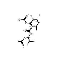 CCC[C@@H](C)[C@@H](C)[C@H](CC(=O)O)NC(=O)O[C@H](OC(C)=O)C(C)C